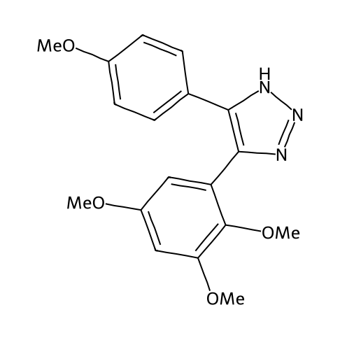 COc1ccc(-c2[nH]nnc2-c2cc(OC)cc(OC)c2OC)cc1